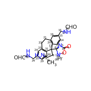 CC(C)n1oc(=O)nc1C1(C[C@H](C)N)c2ccc(CNC=O)cc2CCc2cc(CNC=O)ccc21